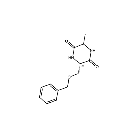 CC1NC(=O)[C@H](COCc2ccccc2)NC1=O